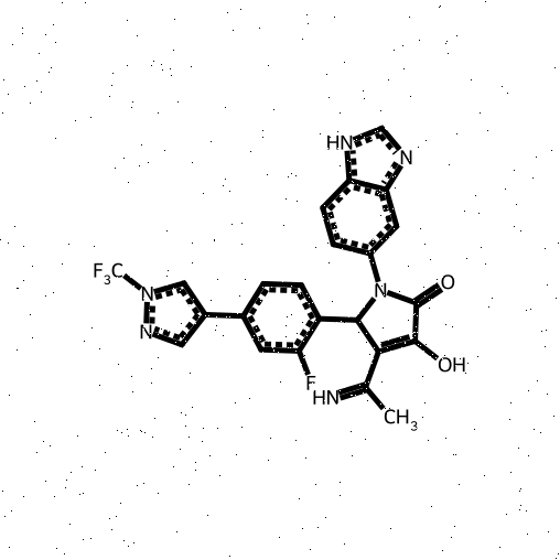 CC(=N)C1=C(O)C(=O)N(c2ccc3[nH]cnc3c2)C1c1ccc(-c2cnn(C(F)(F)F)c2)cc1F